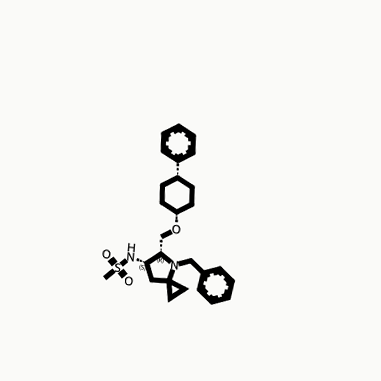 CS(=O)(=O)N[C@H]1CC2(CC2)N(Cc2ccccc2)[C@H]1CO[C@H]1CC[C@@H](c2ccccc2)CC1